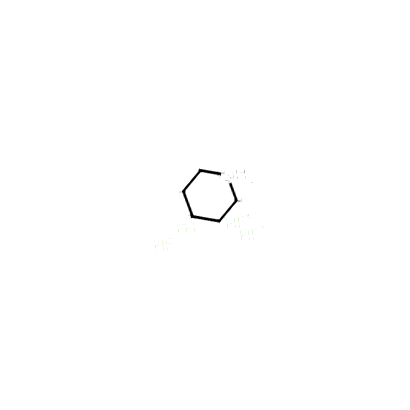 C1CC[SiH2]CC1.F.F.F.F